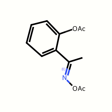 CC(=O)O/N=C(\C)c1ccccc1OC(C)=O